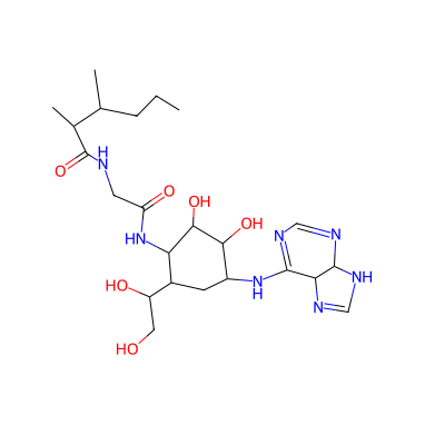 CCCC(C)C(C)C(=O)NCC(=O)NC1C(O)C(O)C(NC2=NC=NC3NC=NC23)CC1C(O)CO